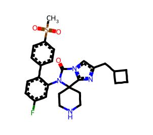 CS(=O)(=O)c1ccc(-c2ccc(F)cc2N2C(=O)n3cc(CC4CCC4)nc3C23CCNCC3)cc1